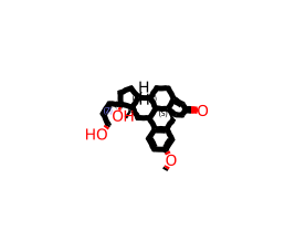 COc1ccc2c(c1)C[C@]13CCC(=O)C=C1CC[C@@H]1C3C2C[C@@]2(C)[C@H]1CC[C@@]2(O)/C=C\CO